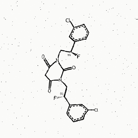 O=C1CC(=O)N(C[C@H](F)c2cccc(Cl)c2)C(=O)N1C[C@@H](F)c1cccc(Cl)c1